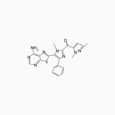 Cc1cc(C(=O)c2nc(-c3ccccc3)c(-c3nc4c(N)ncnc4s3)n2C)n(C)n1